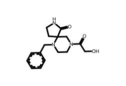 O=C(CO)N1CCN(Cc2ccccc2)C2(CCNC2=O)C1